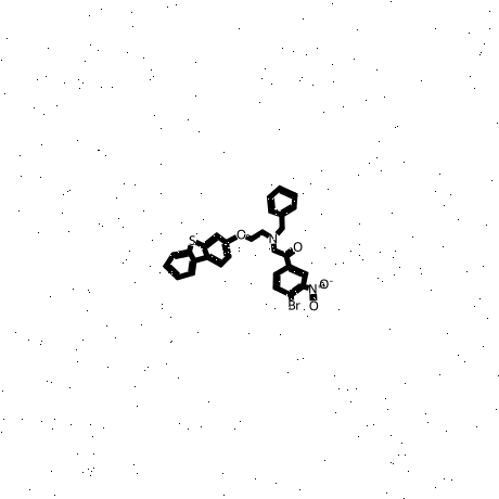 O=C(CN(CCOc1ccc2c(c1)sc1ccccc12)Cc1ccccc1)c1ccc(Br)c([N+](=O)[O-])c1